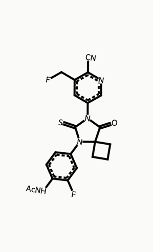 CC(=O)Nc1ccc(N2C(=S)N(c3cnc(C#N)c(CF)c3)C(=O)C23CCC3)cc1F